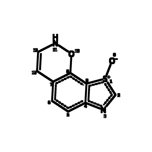 [O-][s+]1cnc2ccc3c(c21)ONC=C3